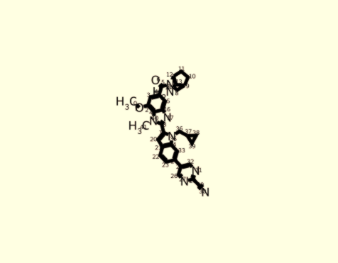 COc1cc(C(=O)N2CC3CCC2C3N)cc2nc(-c3cc4ccc(-c5cnc(C#N)nc5)cc4n3CC3CC3)n(C)c12